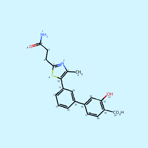 Cc1nc(CCC(N)=O)sc1-c1cccc(-c2ccc(C(=O)O)c(O)c2)c1